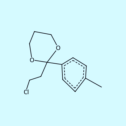 Cc1ccc(C2(CCCl)OCCCO2)cc1